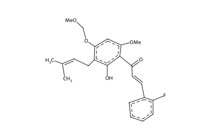 COCOc1cc(OC)c(C(=O)C=Cc2ccccc2F)c(O)c1CC=C(C)C